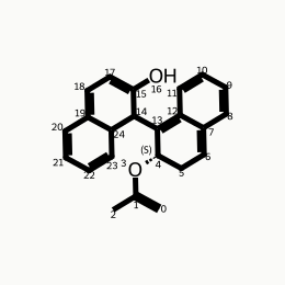 C=C(C)O[C@H]1CC=c2ccccc2=C1C1C(O)=CC=C2C=CC=CC21